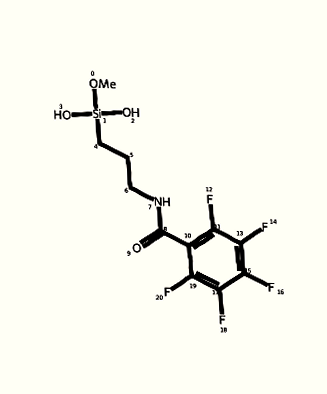 CO[Si](O)(O)CCCNC(=O)c1c(F)c(F)c(F)c(F)c1F